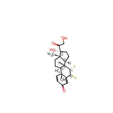 C[C@]12C=CC(=O)C=C1[C@H](F)[C@@H](F)[C@@H]1[C@@H]2CC[C@@]2(C)[C@H]1CC[C@]2(O)C(=O)CO